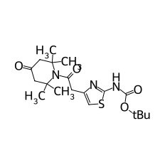 CC(C)(C)OC(=O)Nc1nc(CC(=O)N2C(C)(C)CC(=O)CC2(C)C)cs1